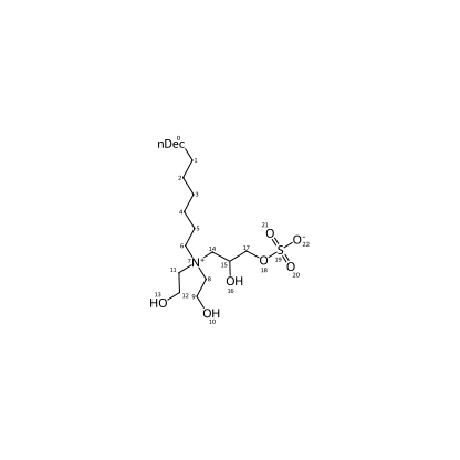 CCCCCCCCCCCCCCCC[N+](CCO)(CCO)CC(O)COS(=O)(=O)[O-]